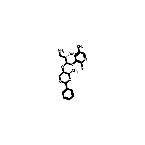 CO[C@@H](CN)C(OC1COC(c2ccccc2)O[C@@H]1C)Sc1cc(C)cnc1Br